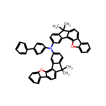 CC1(C)c2ccc(N(c3ccc(-c4ccccc4)cc3)c3ccc4c(c3)-c3c(ccc5c3oc3ccccc35)C4(C)C)cc2-c2c1ccc1c2oc2ccccc21